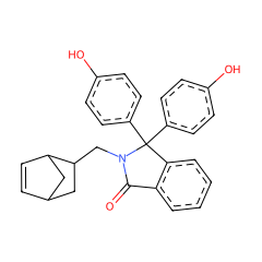 O=C1c2ccccc2C(c2ccc(O)cc2)(c2ccc(O)cc2)N1CC1CC2C=CC1C2